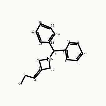 CCC=C1CN(C(c2ccccc2)c2ccccc2)C1